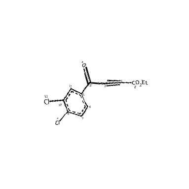 CCOC(=O)C#CC(=O)c1ccc(Cl)c(Cl)c1